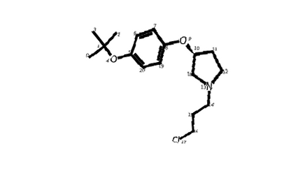 CC(C)(C)Oc1ccc(O[C@H]2CCN(CCCCl)C2)cc1